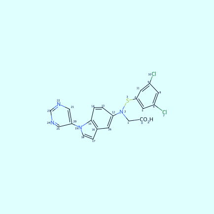 O=C(O)CN(Sc1cc(Cl)cc(Cl)c1)c1ccc2c(ccn2-c2cncnc2)c1